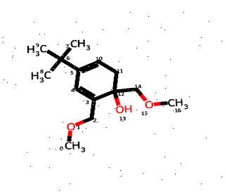 COCC1=CC(C(C)(C)C)=CCC1(O)COC